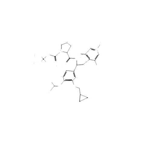 CC(C)(C)OC(=O)N1CCCC1C(=O)OC(Cc1c(Cl)c[n+]([O-])cc1Cl)c1ccc(OC(F)F)c(OCC2CC2)c1